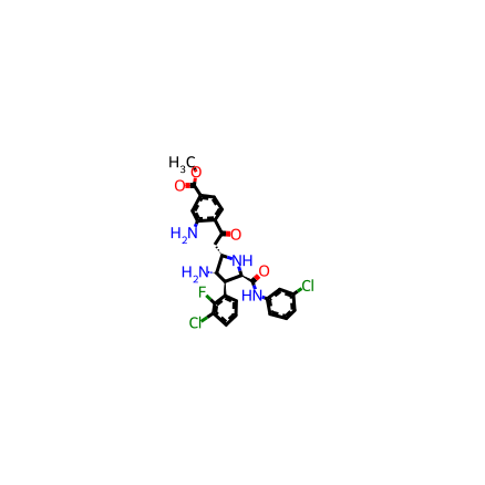 COC(=O)c1ccc(C(=O)C[C@@H]2N[C@@H](C(=O)Nc3cccc(Cl)c3)[C@@H](c3cccc(Cl)c3F)[C@@H]2N)c(N)c1